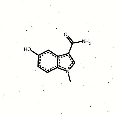 Cn1cc(C(N)=O)c2cc(O)ccc21